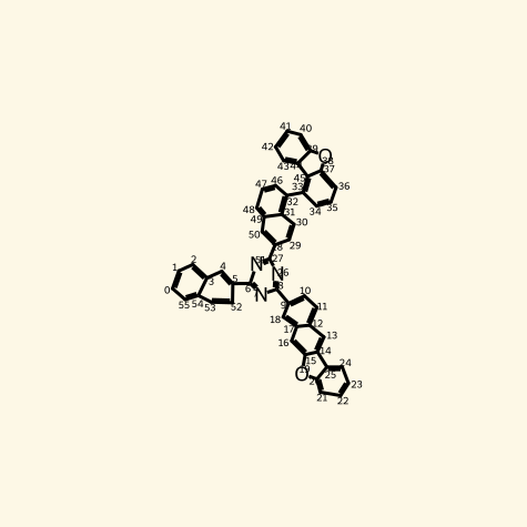 c1ccc2cc(-c3nc(-c4ccc5cc6c(cc5c4)oc4ccccc46)nc(-c4ccc5c(-c6cccc7oc8ccccc8c67)cccc5c4)n3)ccc2c1